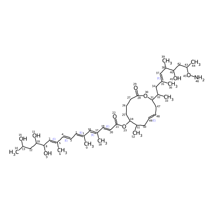 CC(=C\C=C\C(C)=C\C(O)C(O)CC(C)O)/C=C(C)/C=C/C(=O)OC1CCCC(=O)OC(C(C)C/C(C)=C/C(C)C(O)CC(C)ON)C/C=C/CC1C